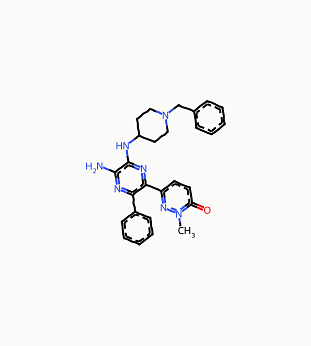 Cn1nc(-c2nc(NC3CCN(Cc4ccccc4)CC3)c(N)nc2-c2ccccc2)ccc1=O